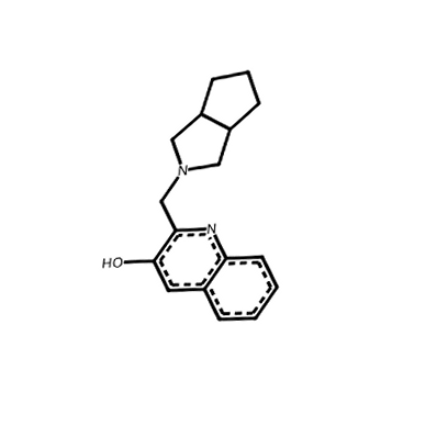 Oc1cc2ccccc2nc1CN1CC2CCCC2C1